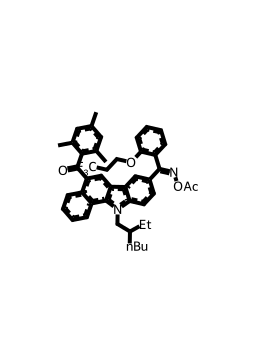 CCCCC(CC)Cn1c2ccc(/C(=N\OC(C)=O)c3ccccc3OCCC(F)(F)F)cc2c2cc(C(=O)c3c(C)cc(C)cc3C)c3ccccc3c21